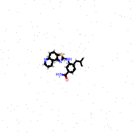 CC(C)Cc1ccc(C(N)=O)cc1Nc1nc2c(ccc3ncccc32)s1